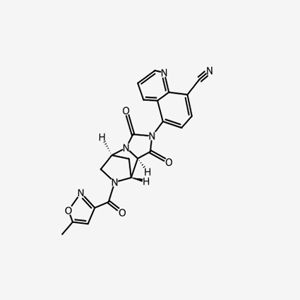 Cc1cc(C(=O)N2C[C@@H]3C[C@@H]2[C@@H]2C(=O)N(c4ccc(C#N)c5ncccc45)C(=O)N32)no1